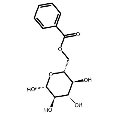 O=C(OC[C@H]1O[C@@H](O)[C@H](O)[C@@H](O)[C@@H]1O)c1ccccc1